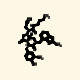 C#CCN(C(=O)NCCCC)N1CC(=O)N2[C@@H](Cc3ccc(O)c(N)c3)C(=O)N(Cc3cccc4sc(N)nc34)C[C@@H]21